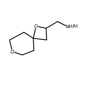 CC(=O)NCC1CC2(CCOCC2)O1